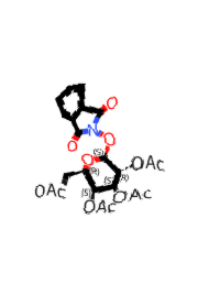 CC(=O)OC[C@H]1O[C@@H](ON2C(=O)c3ccccc3C2=O)[C@H](OC(C)=O)[C@@H](OC(C)=O)[C@H]1OC(C)=O